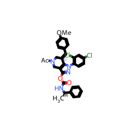 COc1ccc(/C=C2\CN(C(C)=O)Cc3c(OC(=O)N[C@H](C)c4ccccc4)nn(-c4ccc(Cl)cc4Cl)c32)cc1